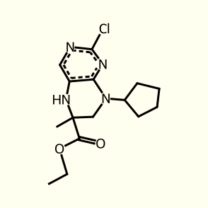 CCOC(=O)C1(C)CN(C2CCCC2)c2nc(Cl)ncc2N1